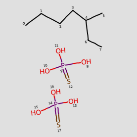 CCCCC(C)CC.OP(O)(O)=S.OP(O)(O)=S